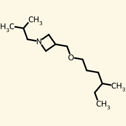 CCC(C)CCCOCC1CN(CC(C)C)C1